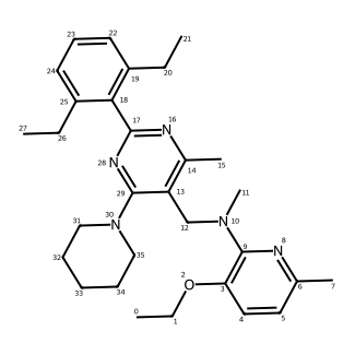 CCOc1ccc(C)nc1N(C)Cc1c(C)nc(-c2c(CC)cccc2CC)nc1N1CCCCC1